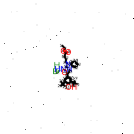 Br.CCOC(=O)CCCn1c(=N)n(CC(=O)c2cc(C(C)(C)C)c(O)c(C(C)(C)C)c2)c2ccccc21